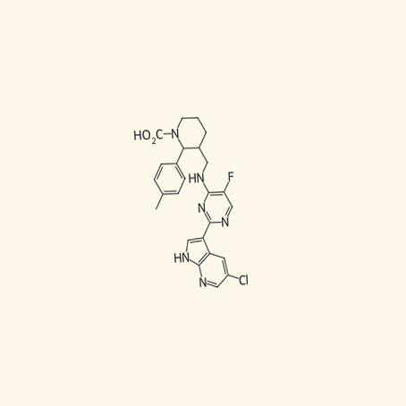 Cc1ccc(C2C(CNc3nc(-c4c[nH]c5ncc(Cl)cc45)ncc3F)CCCN2C(=O)O)cc1